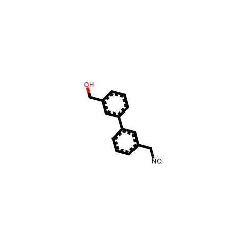 O=NCc1cccc(-c2cccc(CO)c2)c1